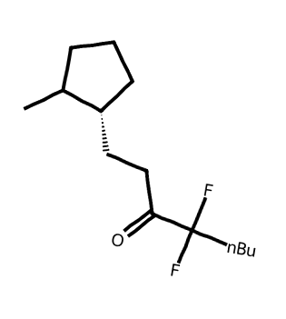 CCCCC(F)(F)C(=O)CC[C@H]1CCCC1C